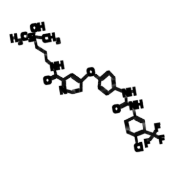 C[Si](C)(O)CCCNC(=O)c1cc(Oc2ccc(NC(=O)Nc3ccc(Cl)c(C(F)(F)F)c3)cc2)ccn1